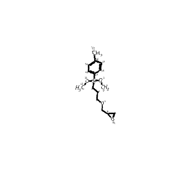 CO[Si](CCCOCC1CO1)(OC)c1ccc(C)cc1